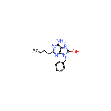 CC(=O)CCCc1nc(N)c2nc(O)n(Cc3ccccc3)c2n1